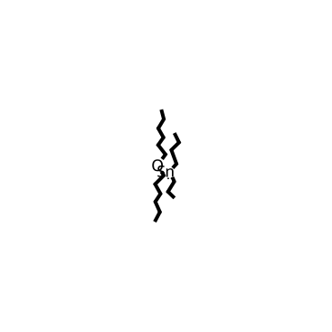 CCCCCCOCCCCCC.CCC[CH2][Sn][CH2]CC